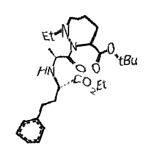 CCOC(=O)[C@H](CCc1ccccc1)N[C@@H](C)C(=O)N1C(C(=O)OC(C)(C)C)CCCN1CC